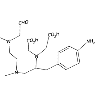 CN(CC=O)CCN(C)CC(Cc1ccc(N)cc1)N(CC(=O)O)CC(=O)O